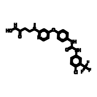 CN(CCC(=O)NO)c1cc(Oc2ccc(NC(=O)Nc3ccc(Cl)c(C(F)(F)F)c3)cc2)ccn1